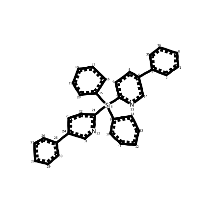 c1ccc(-c2ccc([Si](c3ccccc3)(c3ccccc3)c3ccc(-c4ccccc4)cn3)nc2)cc1